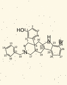 Oc1cccc(C23CCN(Cc4ccccc4)CC2Cc2c([nH]c4c(Br)cccc24)C3)c1